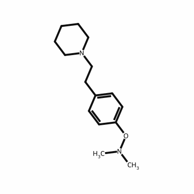 CN(C)Oc1ccc(CCN2CCCCC2)cc1